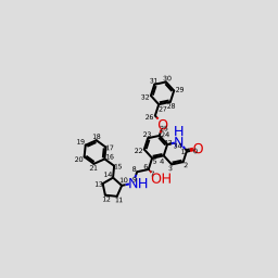 O=c1ccc2c([C@@H](O)CNC3CCCC3Cc3ccccc3)ccc(OCc3ccccc3)c2[nH]1